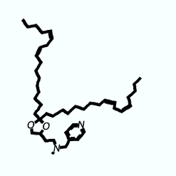 CCCC/C=C\C/C=C\CCCCCCCCC1(CCCCCCCC/C=C\C/C=C\CCCC)OCC(CCN(C)Cc2ccncc2)O1